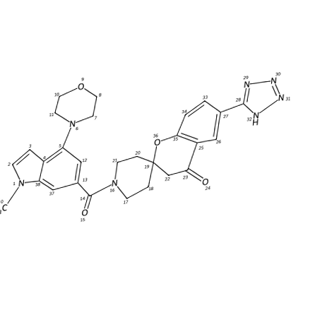 Cn1ccc2c(N3CCOCC3)cc(C(=O)N3CCC4(CC3)CC(=O)c3cc(-c5nnn[nH]5)ccc3O4)cc21